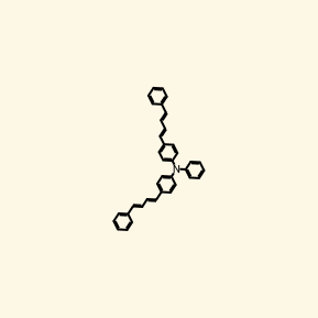 C(C=Cc1ccc(N(c2ccccc2)c2ccc(C=CC=Cc3ccccc3)cc2)cc1)=Cc1ccccc1